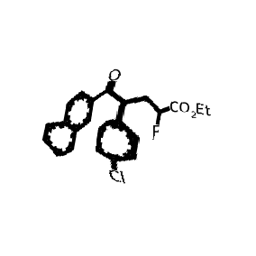 CCOC(=O)C(F)CC(C(=O)c1ccc2ccccc2c1)c1ccc(Cl)cc1